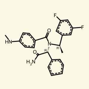 CNc1ccc(C(=O)N([C@H](C)c2cc(F)cc(F)c2)[C@@H](C(N)=O)c2ccccc2)cc1